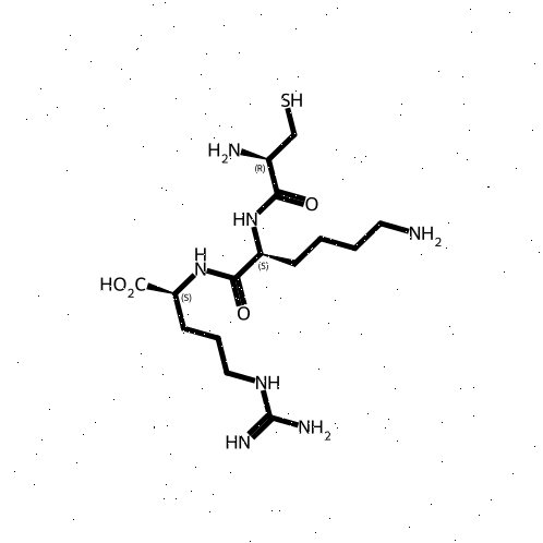 N=C(N)NCCC[C@H](NC(=O)[C@H](CCCCN)NC(=O)[C@@H](N)CS)C(=O)O